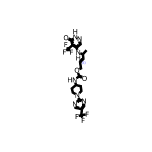 CC(/C=C/COC(=O)NC1CCN(c2ncc(C(F)(F)F)cn2)CC1)Nc1cn[nH]c(=O)c1C(F)(F)F